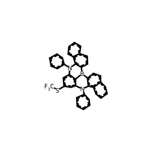 FC(F)(F)Sc1cc2c3c(c1)N(c1ccccc1)c1c(ccc4ccccc14)B3c1ccc3ccccc3c1N2c1ccccc1